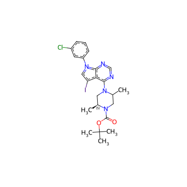 CC1CN(C(=O)OC(C)(C)C)[C@@H](C)CN1c1ncnc2c1c(I)cn2-c1cccc(Cl)c1